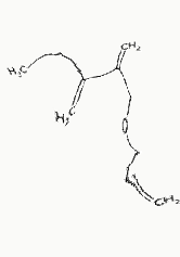 C=CCOCC(=C)C(=C)CC